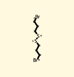 BrCCCSSCCCBr